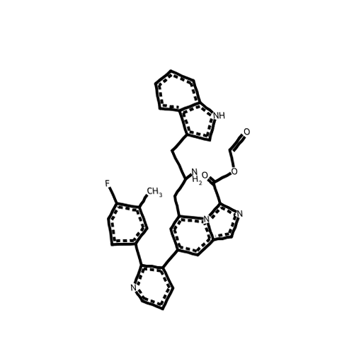 Cc1cc(-c2ncccc2-c2cc(CC(N)Cc3c[nH]c4ccccc34)n3c(C(=O)OC=O)ncc3c2)ccc1F